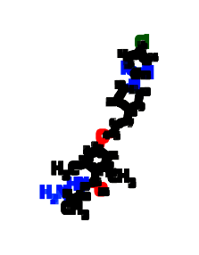 Cc1cc(OCCCC2CCN(c3ncc(Cl)cn3)CC2)cc(C)c1C(=O)NC[C@H](C)N